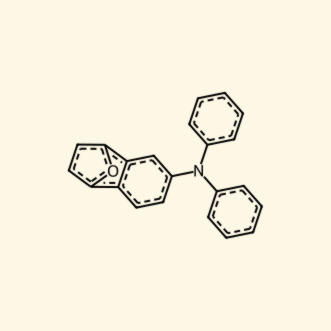 c1ccc(N(c2ccccc2)c2ccc3c4ccc(o4)c3c2)cc1